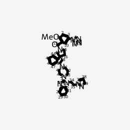 COc1ccc(-n2cnnn2)cc1C(=O)N1CC[C@](CCN2CCCN(c3nc4ccccc4n3CCn3cccn3)CC2)(c2ccccc2)C1